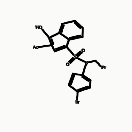 CC(=O)c1cc(S(=O)(=O)N(CC(C)C)c2ccc(Br)cc2)c2ccccc2c1O